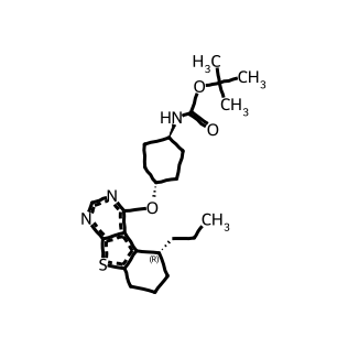 CCC[C@@H]1CCCc2sc3ncnc(O[C@H]4CC[C@H](NC(=O)OC(C)(C)C)CC4)c3c21